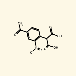 CC(=O)c1ccc(C(C(=O)O)C(=O)O)c([N+](=O)[O-])c1